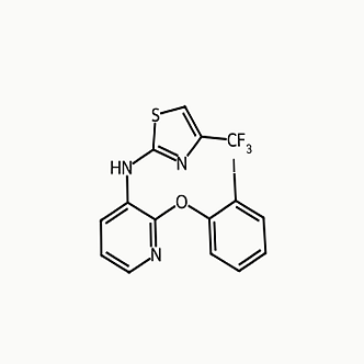 FC(F)(F)c1csc(Nc2cccnc2Oc2ccccc2I)n1